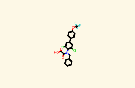 O=C(O)C(=O)N(Cc1ccccc1)c1c(Cl)cc(-c2ccc(OC(F)(F)F)cc2)cc1Cl